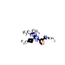 Cc1nc2nc(C3CCOC(c4cnn(C)c4)C3)nc([C@H]3C[C@H](C(F)(F)F)C3)c2nc1C